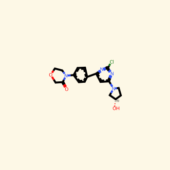 O=C1COCCN1c1ccc(-c2cc(N3CC[C@H](O)C3)nc(Cl)n2)cc1